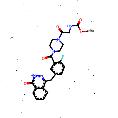 CC(C)(C)OC(=O)NCC(=O)N1CCN(C(=O)c2cc(Cc3n[nH]c(=O)c4ccccc34)ccc2F)CC1